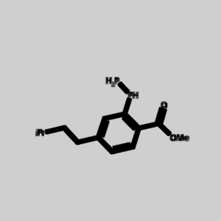 COC(=O)c1ccc(CCC(C)C)cc1PP